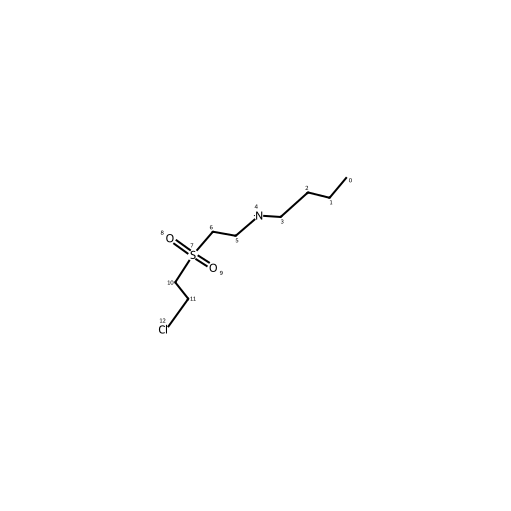 CCCC[N]CCS(=O)(=O)CCCl